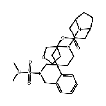 CN(C)S(=O)(=O)N1Cc2ccccc2C2(CCN(C3CC4CCC(C3)N4C(=O)O[C@H]3CCOC3)CC2)C1